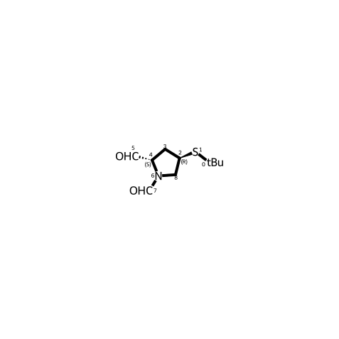 CC(C)(C)S[C@@H]1C[C@@H](C=O)N(C=O)C1